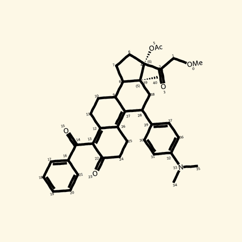 COCC(=O)[C@]1(OC(C)=O)CCC2C3CCC4=C(C(=O)c5ccccc5)C(=O)CCC4=C3C(c3ccc(N(C)C)cc3)C[C@@]21C